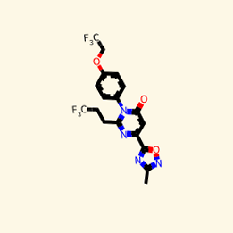 Cc1noc(-c2cc(=O)n(-c3ccc(OCC(F)(F)F)cc3)c(CCC(F)(F)F)n2)n1